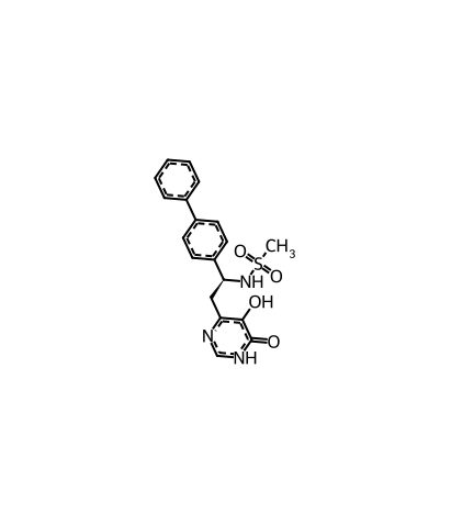 CS(=O)(=O)N[C@@H](Cc1nc[nH]c(=O)c1O)c1ccc(-c2ccccc2)cc1